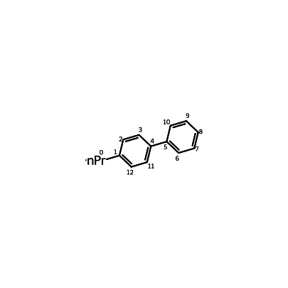 CC[CH]c1ccc(-c2ccccc2)cc1